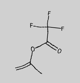 C=C(C)OC(=O)C(F)(F)F